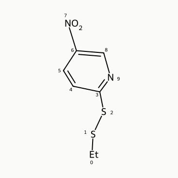 CCSSc1ccc([N+](=O)[O-])cn1